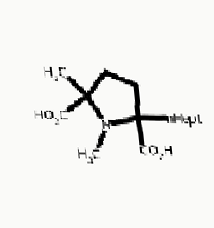 CCCCCCCC1(C(=O)O)CCC(C)(C(=O)O)N1C